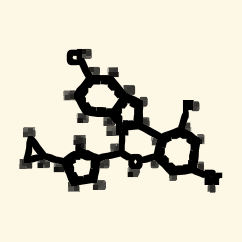 Fc1cc(Br)cc2c1-c1cc3cc(Cl)ccc3n1C(c1ccc(C3CC3)s1)O2